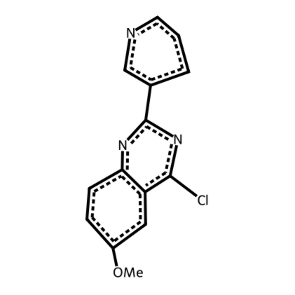 COc1ccc2nc(-c3cccnc3)nc(Cl)c2c1